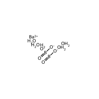 O.O.O.O.O.O=B[O-].O=B[O-].[Ba+2]